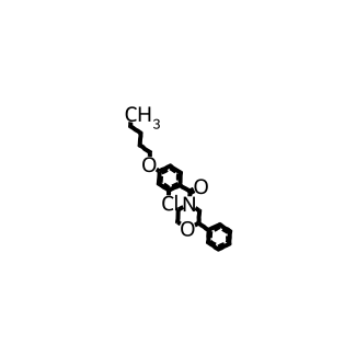 CCCCCOc1ccc(C(=O)N2CCOC(c3ccccc3)C2)c(Cl)c1